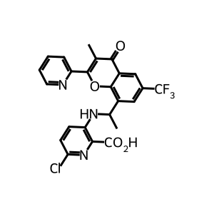 Cc1c(-c2ccccn2)oc2c(C(C)Nc3ccc(Cl)nc3C(=O)O)cc(C(F)(F)F)cc2c1=O